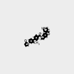 Cc1cc(N2CCCC2=O)ccc1-c1ccc(C(=O)N2CCc3cc4c(cc32)C2(CCNCC2)CO4)cc1